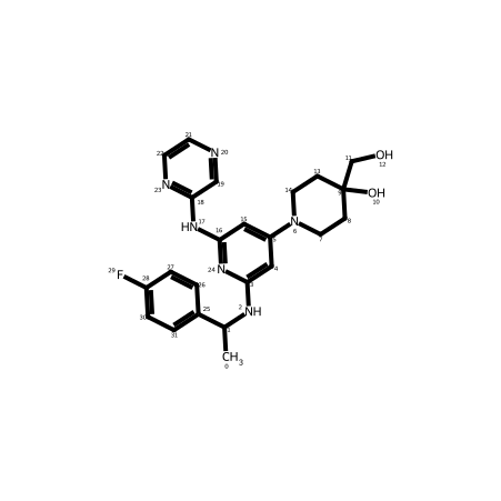 CC(Nc1cc(N2CCC(O)(CO)CC2)cc(Nc2cnccn2)n1)c1ccc(F)cc1